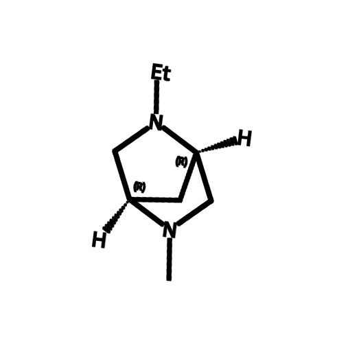 CCN1C[C@H]2C[C@@H]1CN2C